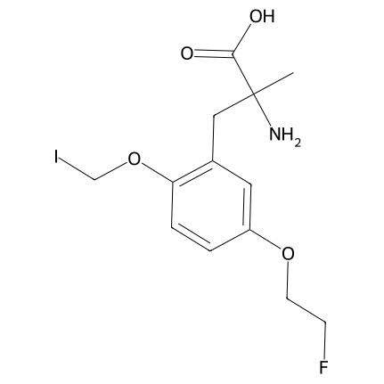 CC(N)(Cc1cc(OCCF)ccc1OCI)C(=O)O